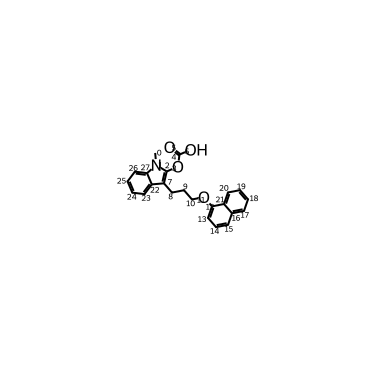 Cn1c(OC(=O)O)c(CCCOc2cccc3ccccc23)c2ccccc21